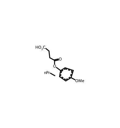 CCCC.COc1ccc(OC(=O)CCC(=O)O)cc1